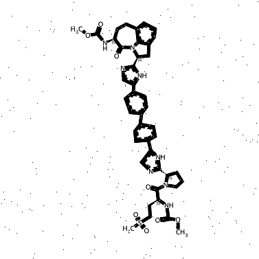 COC(=O)N[C@@H](CCS(C)(=O)=O)C(=O)N1CCC[C@H]1c1ncc(-c2ccc(-c3ccc(-c4cnc([C@@H]5Cc6cccc7c6N5C(=O)[C@@H](NC(=O)OC)CC7)[nH]4)cc3)cc2)[nH]1